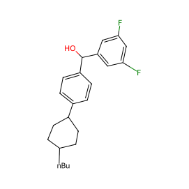 CCCCC1CCC(c2ccc(C(O)c3cc(F)cc(F)c3)cc2)CC1